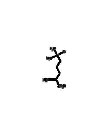 C=C(CCC[N+](C)(C)CC)C(=O)O